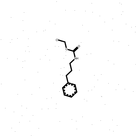 O=C(NCCCc1ccccc1)OCCl